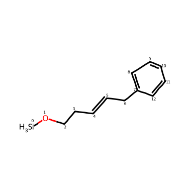 [SiH3]OCCC=CCc1ccccc1